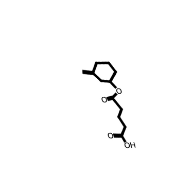 C=C1CCCC(OC(=O)CCCC(=O)O)C1